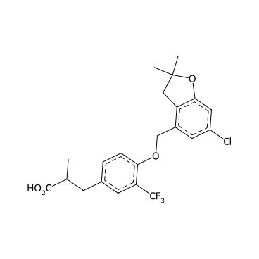 CC(Cc1ccc(OCc2cc(Cl)cc3c2CC(C)(C)O3)c(C(F)(F)F)c1)C(=O)O